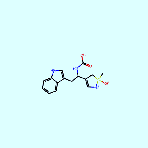 CS1(O)CC(C(Cc2c[nH]c3ccccc23)NC(=O)O)=CN1